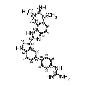 CN(C)C(=N)N(C)c1ccc2nc(-c3c[nH]c4ccc(-c5ccc(NC(=N)N)cc5)cc34)[nH]c2c1